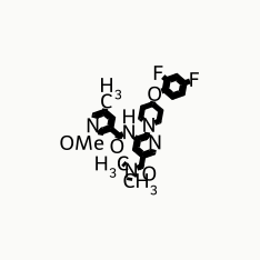 COc1ncc(C)cc1C(=O)Nc1cc(C(=O)N(C)C)cnc1N1CCC(Oc2ccc(F)cc2F)CC1